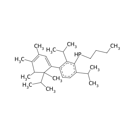 CCCCPc1c(C(C)C)ccc(C2=CC(C)=C(C)C(C)C2(C)C(C)C)c1C(C)C